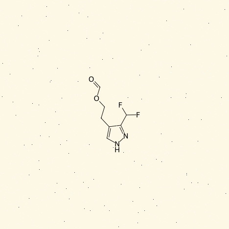 O=COCCc1c[nH]nc1C(F)F